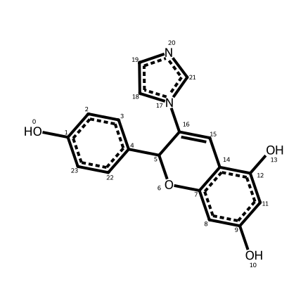 Oc1ccc(C2Oc3cc(O)cc(O)c3C=C2n2ccnc2)cc1